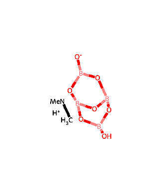 CNC.[H+].[O-]B1OB2OB(O)OB(O1)O2